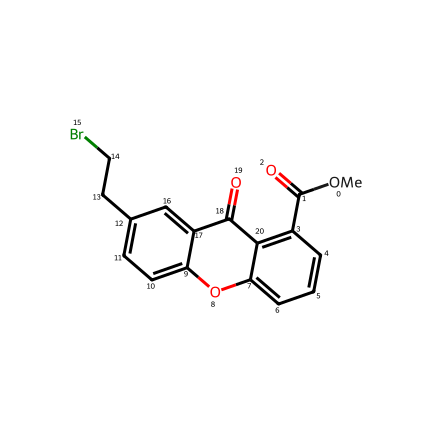 COC(=O)c1cccc2oc3ccc(CCBr)cc3c(=O)c12